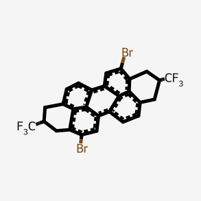 FC(F)(F)C1Cc2ccc3c4cc(Br)c5c6c(ccc(c7cc(Br)c(c2c37)C1)c64)CC(C(F)(F)F)C5